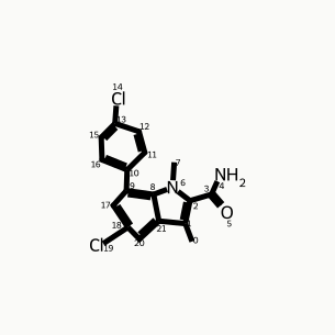 Cc1c(C(N)=O)n(C)c2c(-c3ccc(Cl)cc3)cc(Cl)cc12